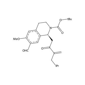 C=C(CC(C)C)C(=O)C[C@H]1c2cc(C=O)c(OC)cc2CCN1C(=O)OC(C)(C)C